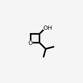 CC(C)C1OCC1O